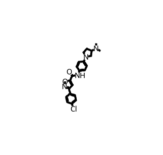 CN(C)C1CCN(c2ccc(NC(=O)c3cc(-c4ccc(Cl)cc4)no3)cc2)C1